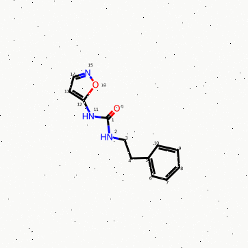 O=C(NCCc1ccccc1)Nc1ccno1